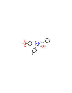 Cc1ccc(-c2c(-c3ccc(S(C)(=O)=O)cc3)nn(CCc3ccccc3)c2CO)cc1